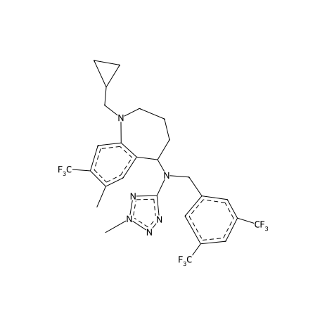 Cc1cc2c(cc1C(F)(F)F)N(CC1CC1)CCCC2N(Cc1cc(C(F)(F)F)cc(C(F)(F)F)c1)c1nnn(C)n1